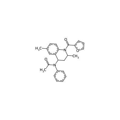 CC(=O)N(c1ccccc1)C1CC(C)N(C(=O)c2ccco2)c2ccc(C)cc21